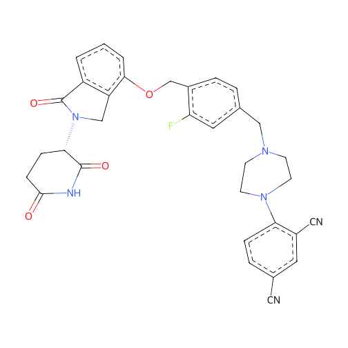 N#Cc1ccc(N2CCN(Cc3ccc(COc4cccc5c4CN([C@H]4CCC(=O)NC4=O)C5=O)c(F)c3)CC2)c(C#N)c1